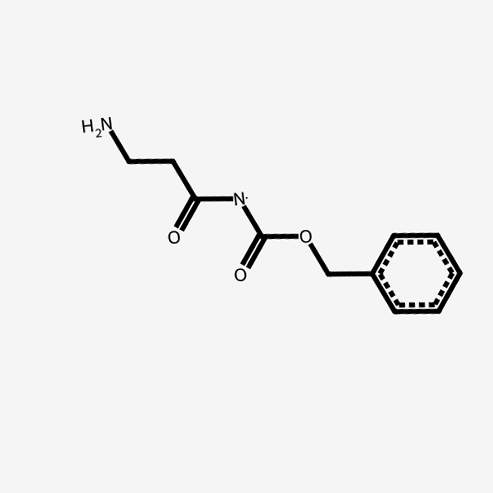 NCCC(=O)[N]C(=O)OCc1ccccc1